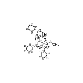 CCS[C@@H]1O[C@@H]2CO[C@@H](c3ccccc3)O[C@H]2[C@H](OC(=O)c2ccccc2)[C@H]1OC(=O)c1ccccc1